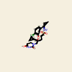 O=C1CCN(CCCCCS(=O)(=O)NC2(c3ccc(Cl)c(OCC4CC4)c3)CC2)C(=O)N1